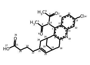 CC(=O)N(C(C)=O)c1c2c(nc3cc(Cl)ccc13)CC1C=C(CCCC(=O)O)CC2C1